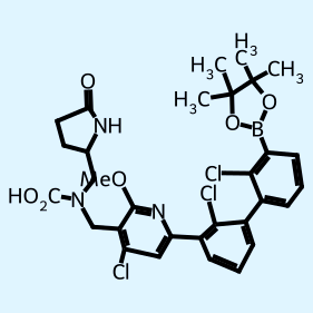 COc1nc(-c2cccc(-c3cccc(B4OC(C)(C)C(C)(C)O4)c3Cl)c2Cl)cc(Cl)c1CN(CC1CCC(=O)N1)C(=O)O